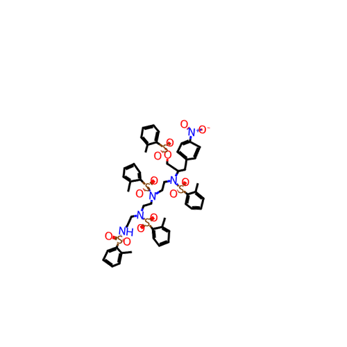 Cc1ccccc1S(=O)(=O)NCCN(CCN(CCN(C(COS(=O)(=O)c1ccccc1C)Cc1ccc([N+](=O)[O-])cc1)S(=O)(=O)c1ccccc1C)S(=O)(=O)c1ccccc1C)S(=O)(=O)c1ccccc1C